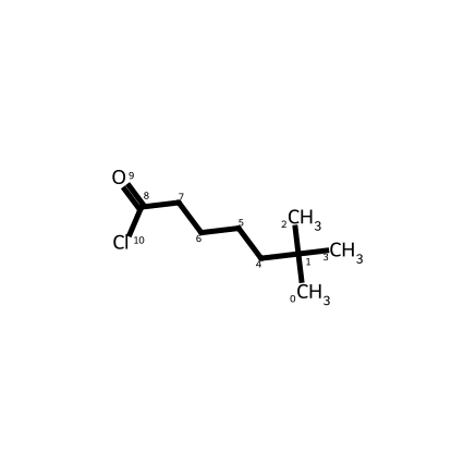 CC(C)(C)CCCCC(=O)Cl